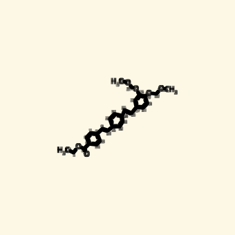 CCOC(=O)c1ccc(/C=C/c2ccc(/C=C/c3ccc(OCOC)c(OCOC)c3)cc2)cc1